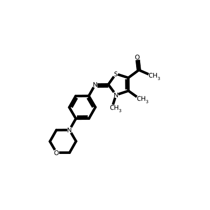 CC(=O)c1sc(=Nc2ccc(N3CCOCC3)cc2)n(C)c1C